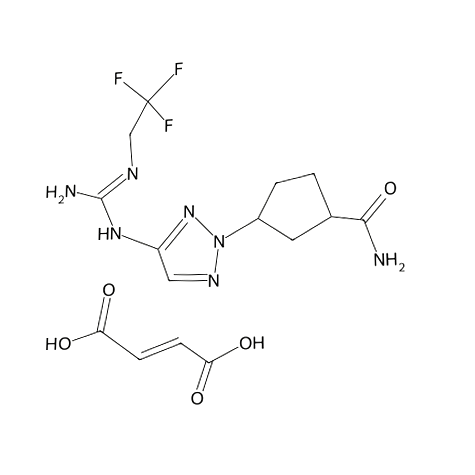 NC(=O)C1CCC(n2ncc(NC(N)=NCC(F)(F)F)n2)C1.O=C(O)C=CC(=O)O